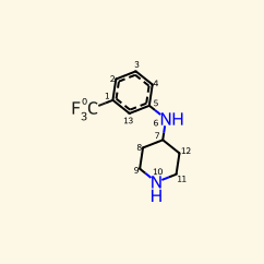 FC(F)(F)c1cccc(NC2CCNCC2)c1